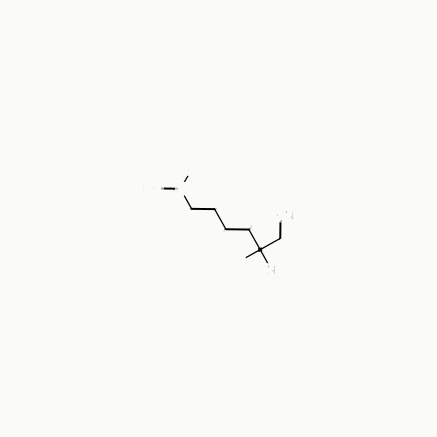 N#CCC(N)(CCCCB(O)O)C(=O)O